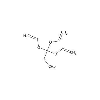 [CH2]CC(OC=C)(OC=C)OC=C